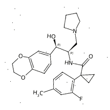 Cc1ccc(C2(C(=O)N[C@H](CN3CCCC3)[C@H](O)c3ccc4c(c3)OCCO4)CC2)c(F)c1